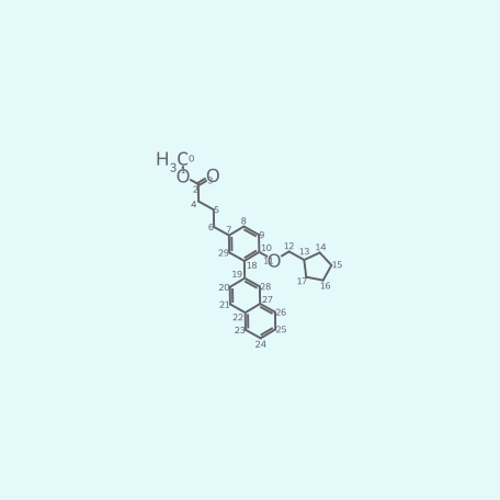 COC(=O)CCCc1ccc(OCC2CCCC2)c(-c2ccc3ccccc3c2)c1